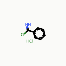 Cl.N=C(Cl)c1ccccc1